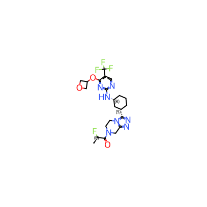 C[C@@H](F)C(=O)N1CCn2c(nnc2[C@H]2CCC[C@@H](Nc3ncc(C(F)(F)F)c(OC4COC4)n3)C2)C1